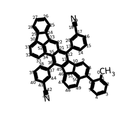 Cc1ccccc1-c1ccc2c3c(-c4cccc(C#N)c4)c4cc5c6ccccc6c6cccc(c4c(-c4cccc(C#N)c4)c3c3cccc1c23)c65